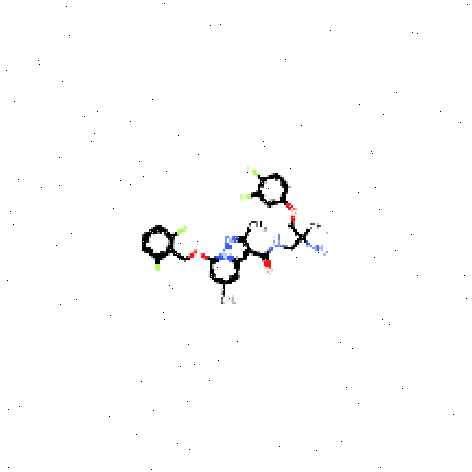 Cc1cc(OCc2c(F)cccc2F)n2nc(C)c(C(=O)NCC(C)(N)COc3ccc(F)c(F)c3)c2c1